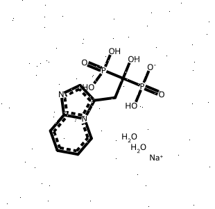 O.O.O=P([O-])(O)C(O)(Cc1cnc2ccccn12)P(=O)(O)O.[Na+]